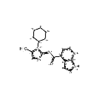 Cc1cs/c(=N\C(=O)c2ccnc3[nH]ccc23)n1C1CCCCC1